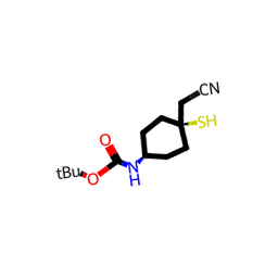 CC(C)(C)OC(=O)N[C@H]1CC[C@](S)(CC#N)CC1